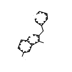 Cc1c(Cc2cccnc2)oc2ccc(C#N)cc12